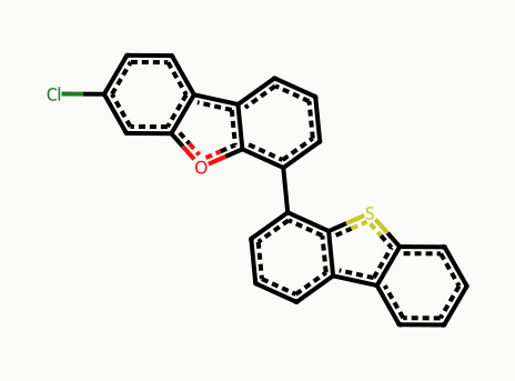 Clc1ccc2c(c1)oc1c(-c3cccc4c3sc3ccccc34)cccc12